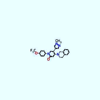 Cn1cc(-c2cn(-c3ccc(OC(F)(F)F)cc3)c(=O)cc2N2CCc3ccccc3C2)cn1